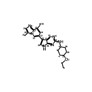 CCOC1CCC(Nc2ncc3c(-c4cc(F)c5ncc(C)n5c4)c[nH]c3n2)CC1